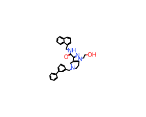 O=C(NCc1cccc2ccccc12)c1nn(CCO)c2c1CN(Cc1cccc(-c3ccccc3)c1)CC2